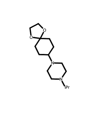 CC(C)N1CCN(C2CCC3(CC2)OCCO3)CC1